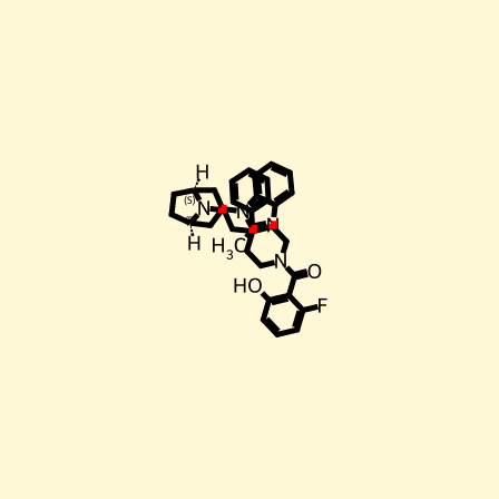 Cc1nc2ccccc2n1C1C[C@H]2CC[C@@H](C1)N2CCC1(c2ccccc2)CCN(C(=O)c2c(O)cccc2F)CC1